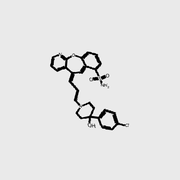 NS(=O)(=O)C1C=CC=C2Oc3ncccc3C(=CCCN3CCC(O)(c4ccc(Cl)cc4)CC3)C=C21